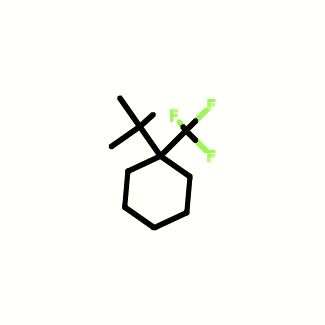 CC(C)(C)C1(C(F)(F)F)CCCCC1